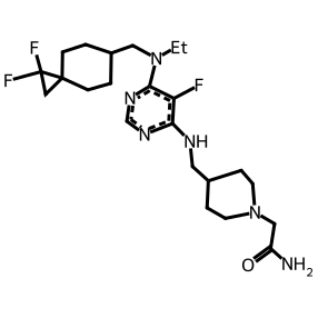 CCN(CC1CCC2(CC1)CC2(F)F)c1ncnc(NCC2CCN(CC(N)=O)CC2)c1F